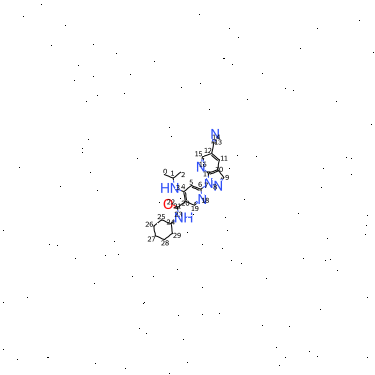 CC(C)Nc1cc(-n2ncc3cc(C#N)cnc32)ncc1C(=O)NC1CCCCC1